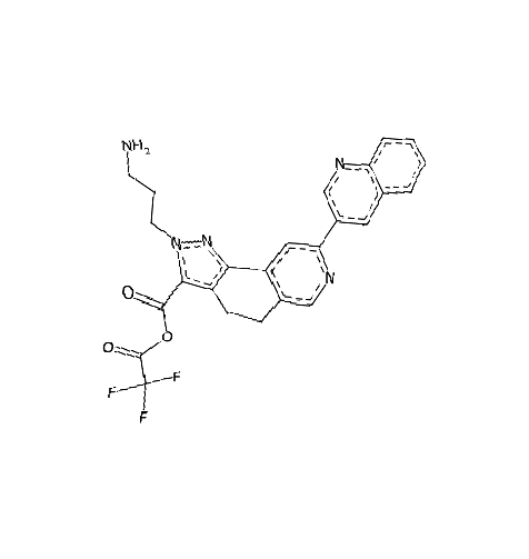 NCCCn1nc2c(c1C(=O)OC(=O)C(F)(F)F)CCc1cnc(-c3cnc4ccccc4c3)cc1-2